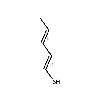 C/C=C/C=C/S